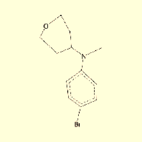 CN(c1ccc(Br)cc1)C1CCOCC1